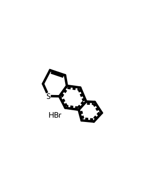 Br.C1=Cc2cc3ccccc3cc2SC1